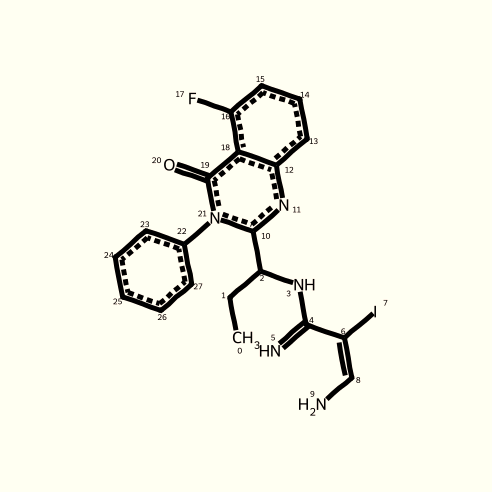 CCC(NC(=N)/C(I)=C\N)c1nc2cccc(F)c2c(=O)n1-c1ccccc1